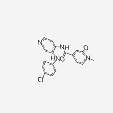 Cn1ccc(C(=O)Nc2ccncc2Nc2ccc(Cl)cc2)cc1=O